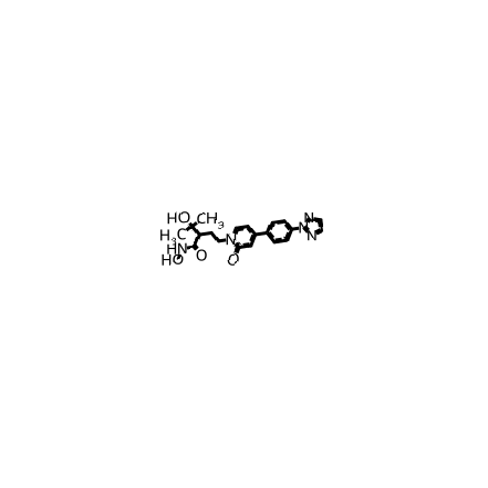 CC(C)(O)C(CCn1ccc(-c2ccc(-n3nccn3)cc2)cc1=O)C(=O)NO